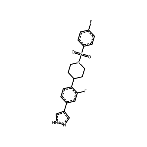 O=S(=O)(c1ccc(F)cc1)N1CCC(c2ccc(-c3cn[nH]c3)cc2F)CC1